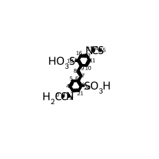 C=C=Nc1ccc(/C=C/c2ccc(N=C=S)cc2S(=O)(=O)O)c(S(=O)(=O)O)c1